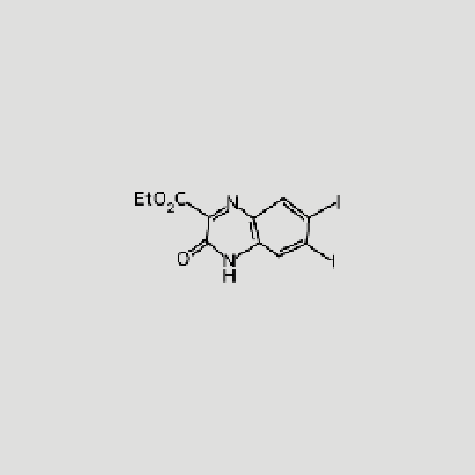 CCOC(=O)c1nc2cc(I)c(I)cc2[nH]c1=O